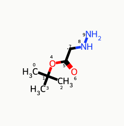 CC(C)(C)OC(=O)[CH]NN